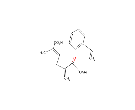 C=C(CC=C(C)C(=O)O)C(=O)OC.C=Cc1ccccc1